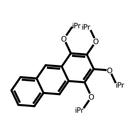 CC(C)Oc1c(OC(C)C)c(OC(C)C)c2cc3ccccc3cc2c1OC(C)C